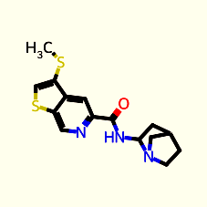 CSc1csc2cnc(C(=O)NC3CC4CCN3C4)cc12